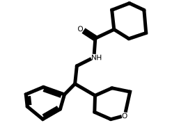 O=C(NCC(c1ccccc1)C1CCOCC1)C1CCCCC1